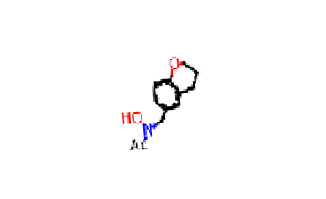 CC(=O)N(O)Cc1ccc2c(c1)CCCO2